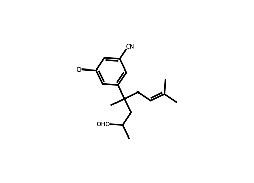 CC(C)=CCC(C)(CC(C)C=O)c1cc(Cl)cc(C#N)c1